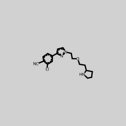 N#Cc1ccc(-c2ccn(CCOCCC3CCCN3)n2)cc1Cl